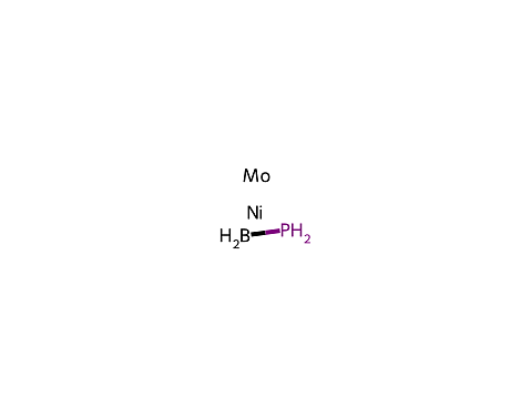 BP.[Mo].[Ni]